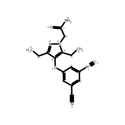 [C-]#[N+]c1cc(C#N)cc(Oc2c(CC)nn(CC(N)=O)c2CC)c1